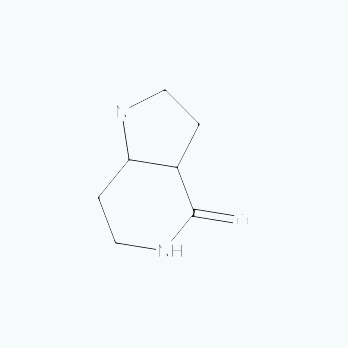 O=C1NCCC2[N]CCC12